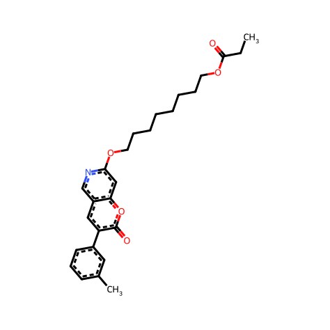 CCC(=O)OCCCCCCCCOc1cc2oc(=O)c(-c3cccc(C)c3)cc2cn1